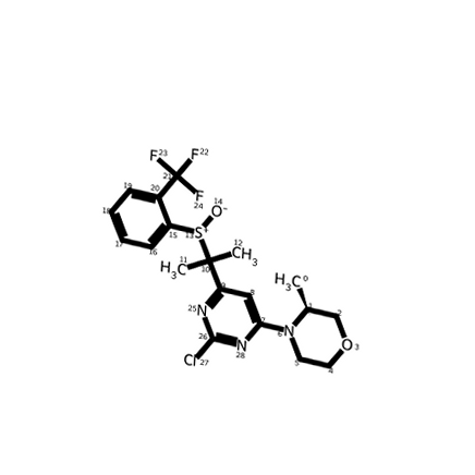 C[C@H]1COCCN1c1cc(C(C)(C)[S+]([O-])c2ccccc2C(F)(F)F)nc(Cl)n1